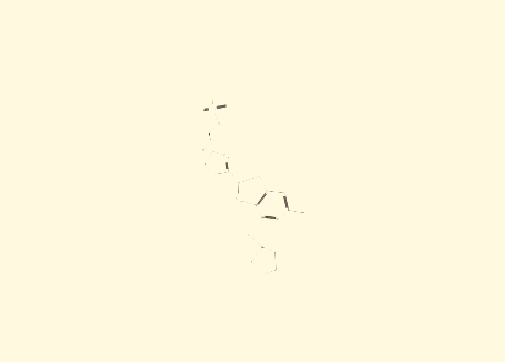 CS(=O)(=O)CC[C@@H]1CSC(C2Cc3cc(F)cc(NC4CCCC4)c3N2)=N1